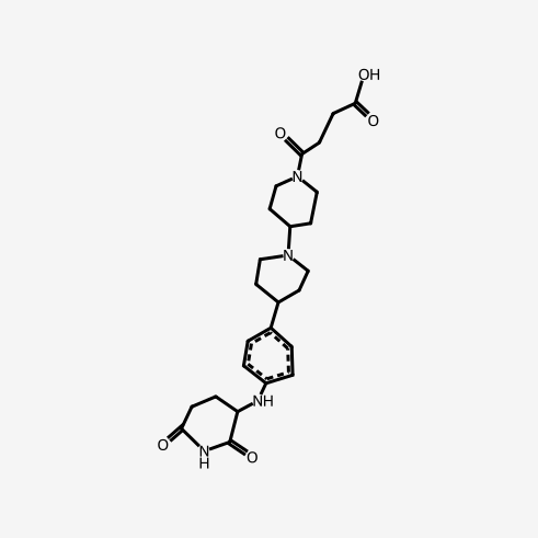 O=C(O)CCC(=O)N1CCC(N2CCC(c3ccc(NC4CCC(=O)NC4=O)cc3)CC2)CC1